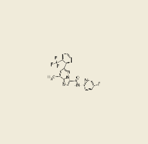 Cc1cc(-c2ccccc2C(F)(F)F)nn2c(C(=O)Nc3ccc(F)cn3)cnc12